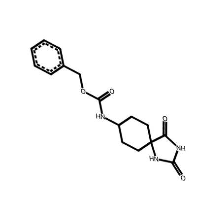 O=C1NC(=O)C2(CCC(NC(=O)OCc3ccccc3)CC2)N1